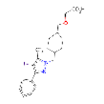 O=C(O)COCC1CCC(Cn2nc(-c3ccccc3)c(I)c2C(F)(F)F)CC1